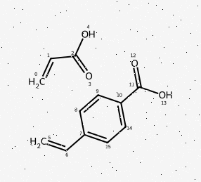 C=CC(=O)O.C=Cc1ccc(C(=O)O)cc1